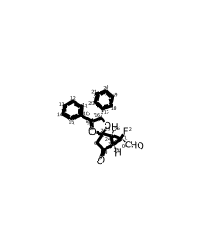 O=C[C@]1(F)[C@H]2C(=O)CC3(OC(c4ccccc4)[C@H](c4ccccc4)O3)[C@H]21